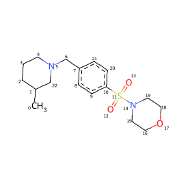 CC1CCCN(Cc2ccc(S(=O)(=O)N3CCOCC3)cc2)C1